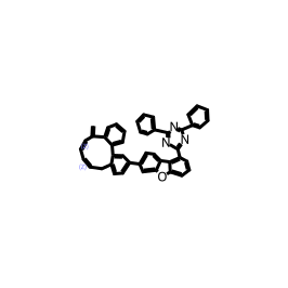 C=C1/C=C\C=C/Cc2ccc(-c3ccc4c(c3)oc3cccc(-c5nc(-c6ccccc6)nc(-c6ccccc6)n5)c34)cc2-c2ccccc21